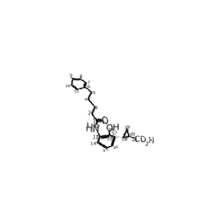 O=C(CCCCc1ccccc1)Nc1cccc([C@@H]2C[C@H]2C(=O)O)c1O